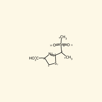 CC(C1=NC(C(=O)O)CS1)S(C)(=O)=O